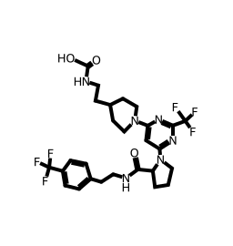 O=C(O)NCCC1CCN(c2cc(N3CCCC3C(=O)NCCc3ccc(C(F)(F)F)cc3)nc(C(F)(F)F)n2)CC1